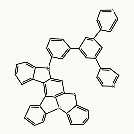 c1cc(-c2cc(-c3ccncc3)cc(-c3ccncc3)c2)cc(-n2c3ccccc3c3c4c5ccccc5n5c4c(cc32)Sc2ccccc2-5)c1